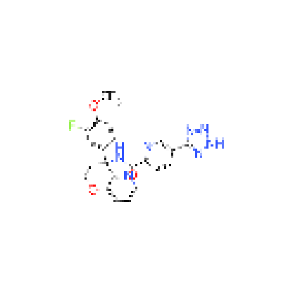 O=C(NC1(c2ccc(OC(F)(F)F)c(F)c2)CCOc2cccnc21)c1ccc(-c2nn[nH]n2)cn1